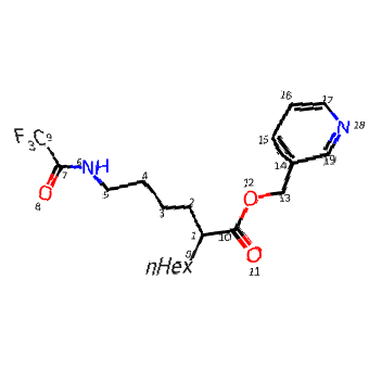 CCCCCCC(CCCCNC(=O)C(F)(F)F)C(=O)OCc1cccnc1